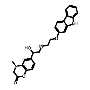 CN1CC(=O)Oc2ccc(C(O)CNCCOc3ccc4c(c3)[nH]c3ccccc34)cc21